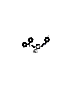 Cl.Cl.Fc1ccc(/C=C/CN2CCN(CCOC(c3ccccc3)c3ccccc3)CC2)cc1